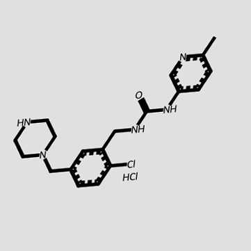 Cc1ccc(NC(=O)NCc2cc(CN3CCNCC3)ccc2Cl)cn1.Cl